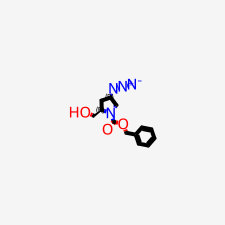 [N-]=[N+]=N[C@@H]1C[C@H](CO)N(C(=O)OCc2ccccc2)C1